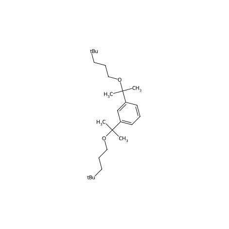 CC(C)(C)CCCOC(C)(C)c1cccc(C(C)(C)OCCCC(C)(C)C)c1